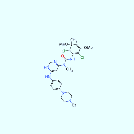 CCN1CCN(c2ccc(NC3=CC(N(C)C(=O)NC4=C(Cl)C(OC)=CC(C)(OC)C4Cl)=NCN3)cc2)CC1